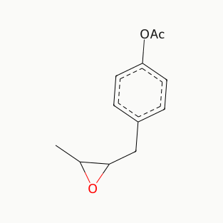 CC(=O)Oc1ccc(CC2OC2C)cc1